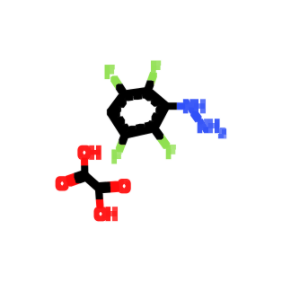 NNc1c(F)c(F)cc(F)c1F.O=C(O)C(=O)O